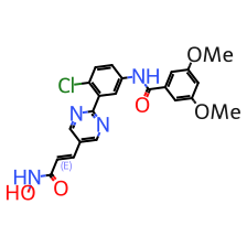 COc1cc(OC)cc(C(=O)Nc2ccc(Cl)c(-c3ncc(/C=C/C(=O)NO)cn3)c2)c1